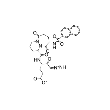 N=[N+]=CC(=O)[C@H](CCC(=O)[O-])NC(=O)[C@@H]1CCCN2C(=O)CC[C@H](NS(=O)(=O)c3ccc4ccccc4c3)C(=O)N12